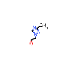 Cc1ncn(CC=O)n1